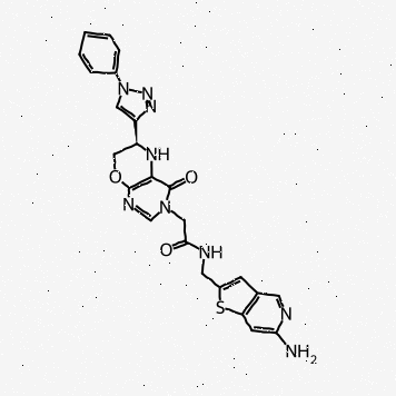 Nc1cc2sc(CNC(=O)Cn3cnc4c(c3=O)N[C@H](c3cn(-c5ccccc5)nn3)CO4)cc2cn1